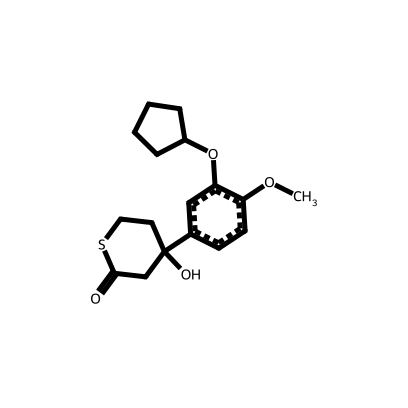 COc1ccc(C2(O)CCSC(=O)C2)cc1OC1CCCC1